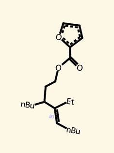 CCCC/C=C(\CC)C(CCCC)CCOC(=O)c1ccco1